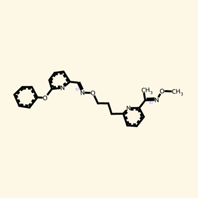 CO/N=C(\C)c1cccc(CCCO/N=C/c2cccc(Oc3ccccc3)n2)n1